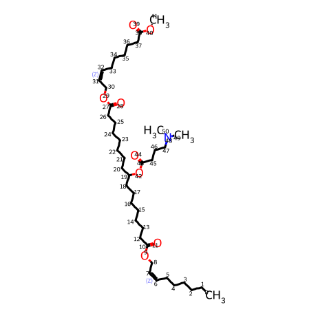 CCCCCC/C=C\COC(=O)CCCCCCCC(CCCCCCCC(=O)OC/C=C\CCCCCC(=O)OC)OC(=O)CCCN(C)C